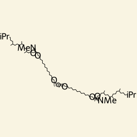 CNCC(COCCCCCCCCCCCCOC[C@H]1CC[C@@H](COCCCCCCCCCCCCOC[C@@H](CNC)OCCC(C)CCCC(C)CCCC(C)CCCC(C)C)C1)OCCC(C)CCCC(C)CCCC(C)CCCC(C)C